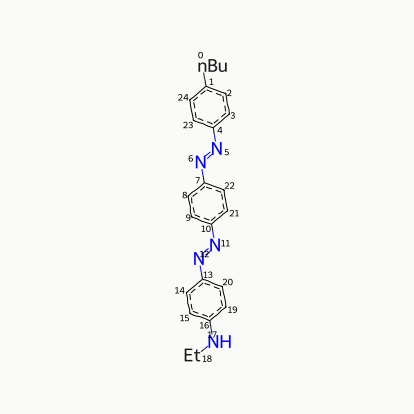 CCCCc1ccc(N=Nc2ccc(N=Nc3ccc(NCC)cc3)cc2)cc1